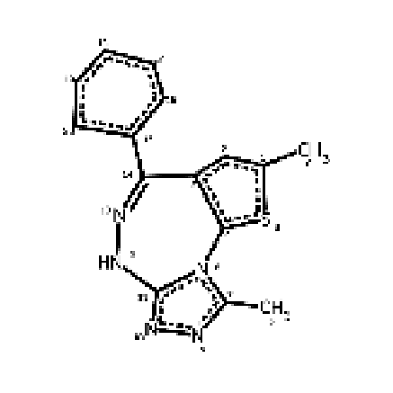 Cc1cc2c(s1)-n1c(C)nnc1NN=C2c1ccccc1